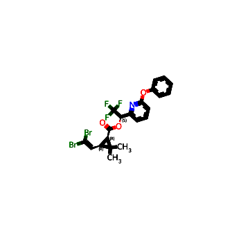 CC1(C)[C@H](C(=O)O[C@@H](c2cccc(Oc3ccccc3)n2)C(F)(F)F)[C@@H]1C=C(Br)Br